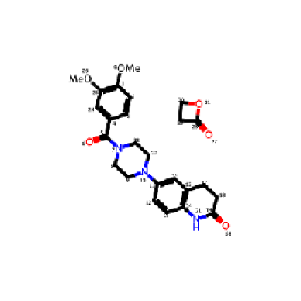 COc1ccc(C(=O)N2CCN(c3ccc4c(c3)CCC(=O)N4)CC2)cc1OC.O=C1CCO1